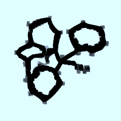 O=C1CC2SCC=C(C(C(=O)O)(c3ccccc3)c3ccccc3)N12